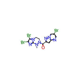 CN1c2nc(Br)c(Br)n2CCN1C(=O)c1cc2ncc(Br)cn2n1